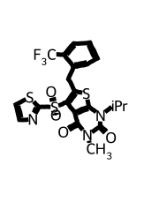 CC(C)n1c(=O)n(C)c(=O)c2c(S(=O)(=O)c3nccs3)c(Cc3ccccc3C(F)(F)F)sc21